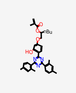 C=C(C)C(=O)OC(CCCC)COc1ccc(-c2nc(-c3ccc(C)cc3C)nc(-c3ccc(C)cc3C)n2)c(O)c1